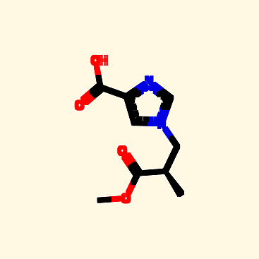 COC(=O)[C@H](C)Cn1cnc(C(=O)O)c1